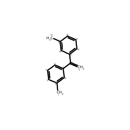 C=C(c1cccc(C)c1)c1cccc(C)c1